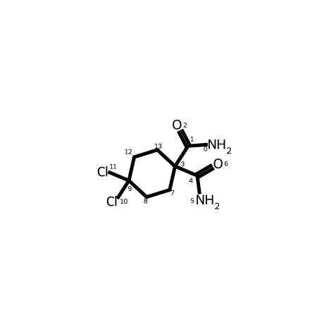 NC(=O)C1(C(N)=O)CCC(Cl)(Cl)CC1